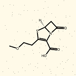 COCCC1=C(C(=O)O)N2C(=O)C[C@@H]2S1